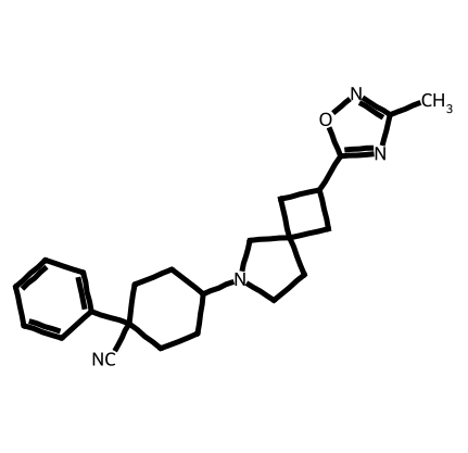 Cc1noc(C2CC3(CCN(C4CCC(C#N)(c5ccccc5)CC4)C3)C2)n1